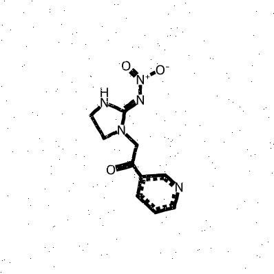 O=C(CN1CCN/C1=N\[N+](=O)[O-])c1cccnc1